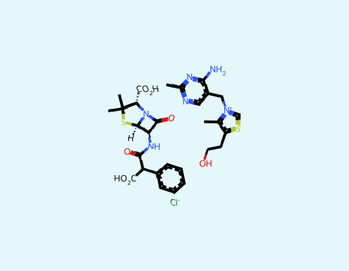 CC1(C)S[C@@H]2[C@H](NC(=O)C(C(=O)O)c3ccccc3)C(=O)N2[C@H]1C(=O)O.Cc1ncc(C[n+]2csc(CCO)c2C)c(N)n1.[Cl-]